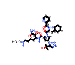 CC(C)(O)c1cnnn1[C@H]1C[C@@H](C(=O)NC(CCCCNC(=O)O)C(=O)C(N)=O)N(C(=O)[C@@H](CC2CCCCC2)NC(=O)c2ccccn2)C1